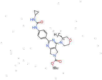 C[C@H]1COCCN1c1nc(-c2ccc(NC(=O)NC3CC3)cc2)nc2c1CN(C(=O)OC(C)(C)C)C2